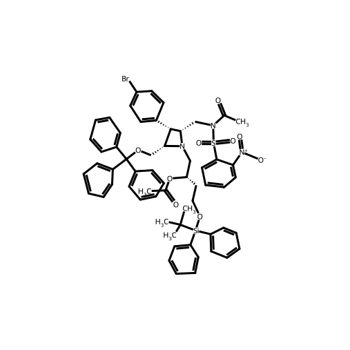 CC(=O)O[C@@H](CCO[Si](c1ccccc1)(c1ccccc1)C(C)(C)C)CN1[C@H](COC(c2ccccc2)(c2ccccc2)c2ccccc2)[C@H](c2ccc(Br)cc2)[C@@H]1CN(C(C)=O)S(=O)(=O)c1ccccc1[N+](=O)[O-]